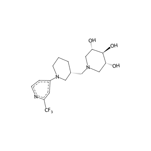 O[C@H]1[C@H](O)CN(C[C@H]2CCCN(c3ccnc(C(F)(F)F)c3)C2)C[C@@H]1O